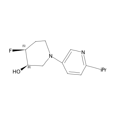 CC(C)c1ccc(N2CC[C@H](F)[C@H](O)C2)cn1